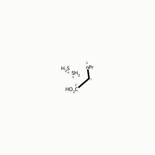 CCCCC(=O)O.S.S